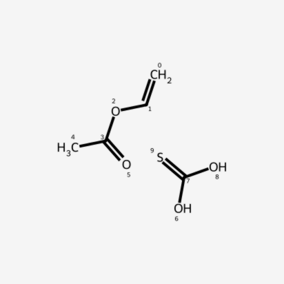 C=COC(C)=O.OC(O)=S